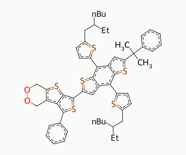 CCCCC(CC)Cc1ccc(-c2c3cc(C(C)(C)c4ccccc4)sc3c(-c3ccc(CC(CC)CCCC)s3)c3cc(-c4sc(-c5ccccc5)c5c6c(sc45)COOC6)sc23)s1